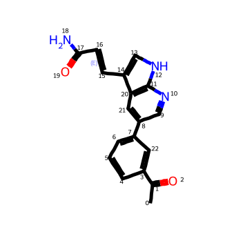 CC(=O)c1cccc(-c2cnc3[nH]cc(/C=C/C(N)=O)c3c2)c1